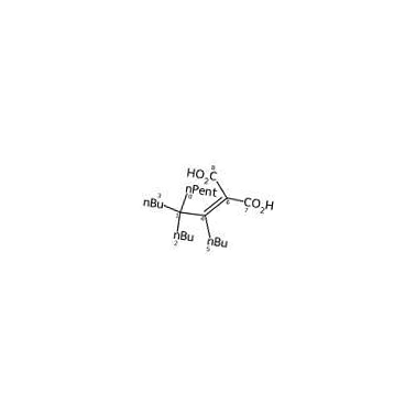 CCCCCC(CCCC)(CCCC)C(CCCC)=C(C(=O)O)C(=O)O